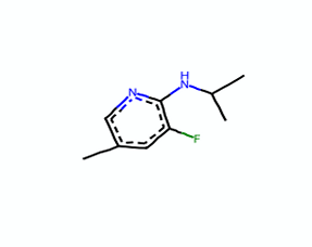 Cc1cnc(NC(C)C)c(F)c1